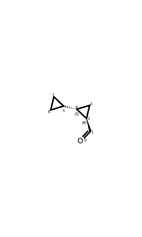 O=C[C@@H]1C[C@H]1C1CC1